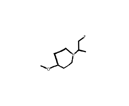 CO[C]1CCN(C(C)CF)CC1